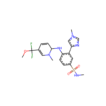 CNS(=O)(=O)c1ccc(NC2C=CC(C(F)(F)OC)=CN2C)c(-c2cn(C)cn2)c1